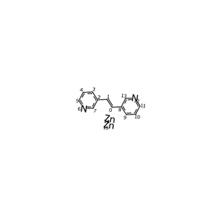 C(=C\c1cccnc1)/c1cccnc1.[Zn].[Zn]